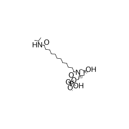 COP(=O)(O)OC[C@@H]1C[C@@H](O)CN1C(=O)CCCCCCCCCCC(=O)NC(C)C